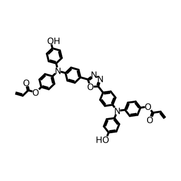 C=CC(=O)Oc1ccc(N(c2ccc(O)cc2)c2ccc(-c3nnc(-c4ccc(N(c5ccc(O)cc5)c5ccc(OC(=O)C=C)cc5)cc4)o3)cc2)cc1